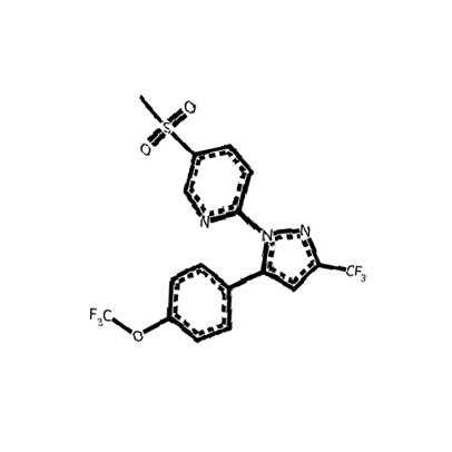 CS(=O)(=O)c1ccc(-n2nc(C(F)(F)F)cc2-c2ccc(OC(F)(F)F)cc2)nc1